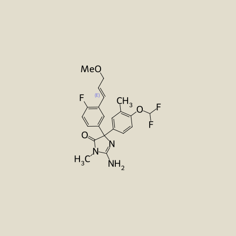 COC/C=C/c1cc(C2(c3ccc(OC(F)F)c(C)c3)N=C(N)N(C)C2=O)ccc1F